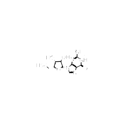 Nc1nc2c(ncn2[C@@H]2O[C@H](C[SeH])[C@@H](O)[C@H]2O)c(=O)[nH]1